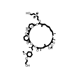 CO[C@@H]1C[C@H](C[C@@H](C)[C@@H]2CC(=O)[C@H](C)/C=C(\C)[C@@H](O)[C@@H](OC)C(=O)[C@H](C)C[C@H](C)/C=C/C=C/C=C(\C)C(OCCS(=O)(=O)CCO)C[C@@H]3CC[C@@H](C)[C@@](O)(O3)C(=O)C(=O)N3CCCC[C@H]3C(=O)O2)CC[C@H]1OCCO